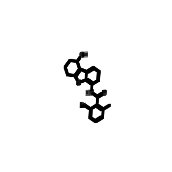 Cc1cccc(Br)c1C(=O)Nc1cccc2c3c(oc12)CCCC3O